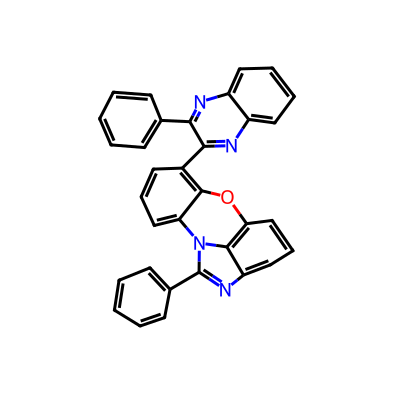 c1ccc(-c2nc3ccccc3nc2-c2cccc3c2Oc2cccc4nc(-c5ccccc5)n-3c24)cc1